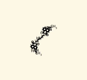 Cc1nc2cc3c4c(cccc4c2[nH]1)C(=O)N(CCCCNCCCN1C(=O)c2cccc4c2c(cc2nc(C)[nH]c24)C1=O)C3=O